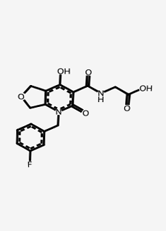 O=C(O)CNC(=O)c1c(O)c2c(n(Cc3cccc(F)c3)c1=O)COC2